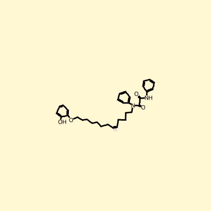 O=C(Nc1ccccc1)C(=O)N(CCCC/C=C\CCCCCCCOc1ccccc1O)c1ccccc1